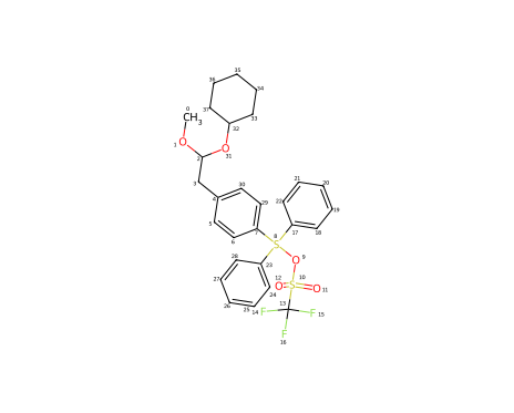 COC(Cc1ccc(S(OS(=O)(=O)C(F)(F)F)(c2ccccc2)c2ccccc2)cc1)OC1CCCCC1